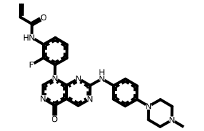 C=CC(=O)Nc1cccc(-n2cnc(=O)c3cnc(Nc4ccc(N5CCN(C)CC5)cc4)nc32)c1F